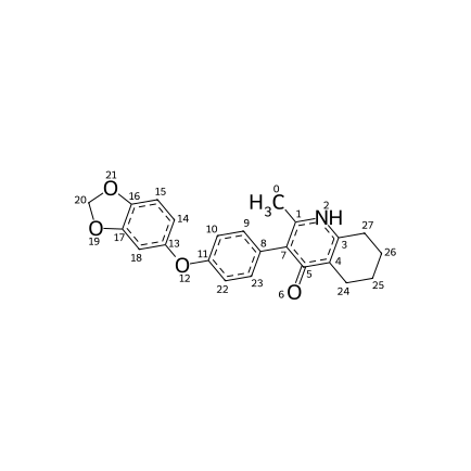 Cc1[nH]c2c(c(=O)c1-c1ccc(Oc3ccc4c(c3)OCO4)cc1)CCCC2